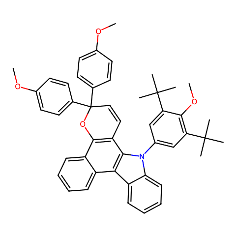 COc1ccc(C2(c3ccc(OC)cc3)C=Cc3c(c4ccccc4c4c5ccccc5n(-c5cc(C(C)(C)C)c(OC)c(C(C)(C)C)c5)c34)O2)cc1